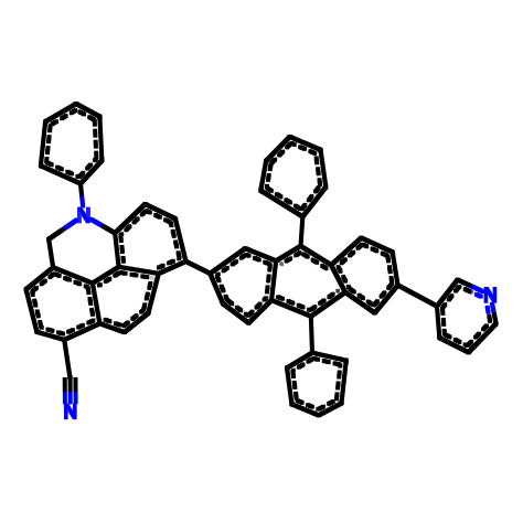 N#Cc1ccc2c3c1ccc1c(-c4ccc5c(-c6ccccc6)c6cc(-c7cccnc7)ccc6c(-c6ccccc6)c5c4)ccc(c13)N(c1ccccc1)C2